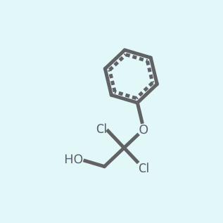 OCC(Cl)(Cl)Oc1ccccc1